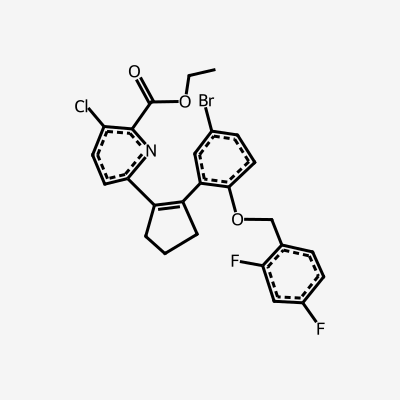 CCOC(=O)c1nc(C2=C(c3cc(Br)ccc3OCc3ccc(F)cc3F)CCC2)ccc1Cl